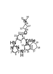 COc1cc(Nc2nccc(Nc3cnc4c(c3)CCCC4)n2)ccc1OC1CC(N(C)C)C1